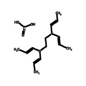 CC=CN(C=CC)CCN(C=CC)C=CC.O=[PH](O)O